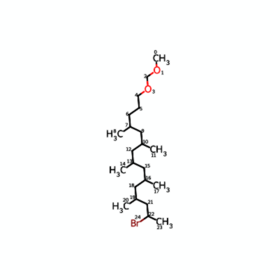 COCOCCCC(C)CC(C)CC(C)CC(C)CC(C)CC(C)Br